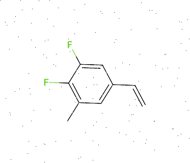 C=Cc1cc(C)c(F)c(F)c1